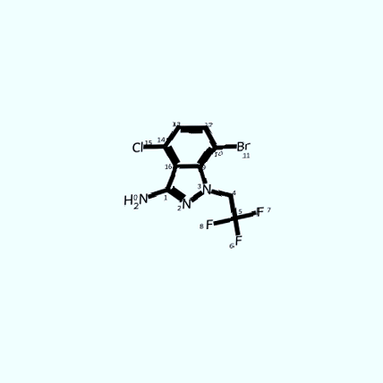 Nc1nn(CC(F)(F)F)c2c(Br)ccc(Cl)c12